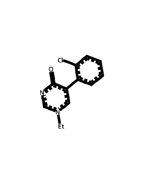 CCn1cnc(=O)c(-c2ccccc2Cl)c1